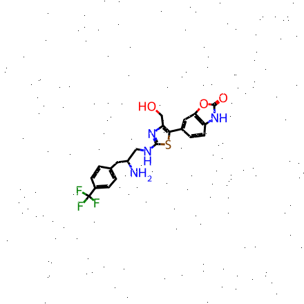 NC(CNc1nc(CO)c(-c2ccc3[nH]c(=O)oc3c2)s1)Cc1ccc(C(F)(F)F)cc1